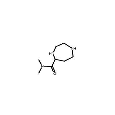 CN(C)C(=O)C1CCNCCN1